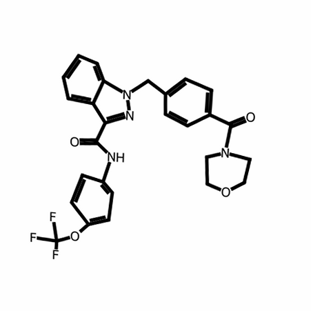 O=C(Nc1ccc(OC(F)(F)F)cc1)c1nn(Cc2ccc(C(=O)N3CCOCC3)cc2)c2ccccc12